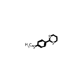 CSc1ccc(C2SCCCS2)cc1